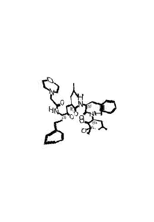 CC(C)C[C@H](CC(=O)[C@H](CCc1ccccc1)NC(=O)CN1CCOCC1)C(=O)N[C@@H](Cc1ccccc1)C(=O)N[C@@H](CC(C)C)C(=O)[C@@]1(C)CO1